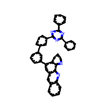 c1ccc(-c2nc(-c3ccccc3)nc(-c3cccc(-c4cccc(-c5cc6cc7ccccc7nc6c6ncccc56)c4)c3)n2)cc1